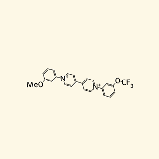 COc1cccc(-[n+]2ccc(-c3cc[n+](-c4cccc(OC(F)(F)F)c4)cc3)cc2)c1